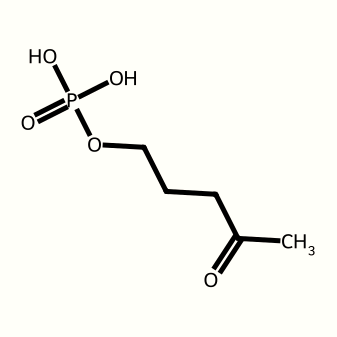 CC(=O)CCCOP(=O)(O)O